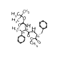 COC(=O)[C@@H](Cc1ccccc1)NC(=O)[C@H](NC(=O)OC(C)(C)C)[C@H](C)c1ccccc1